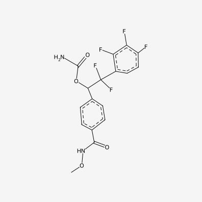 CONC(=O)c1ccc(C(OC(N)=O)C(F)(F)c2ccc(F)c(F)c2F)cc1